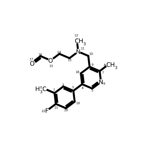 Cc1cc(-c2cnc(C)c(CN(C)CCOC=O)c2)ccc1F